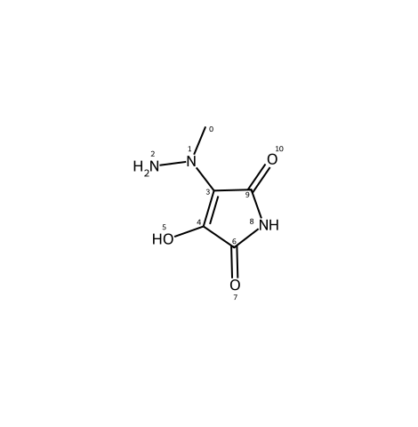 CN(N)C1=C(O)C(=O)NC1=O